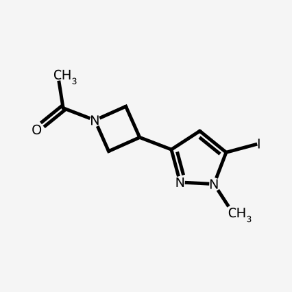 CC(=O)N1CC(c2cc(I)n(C)n2)C1